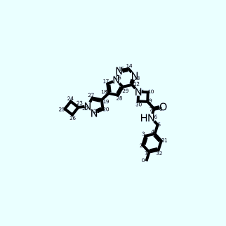 Cc1ccc(CNC(=O)C2CN(c3ncnn4cc(-c5cnn(C6CCC6)c5)cc34)C2)cc1